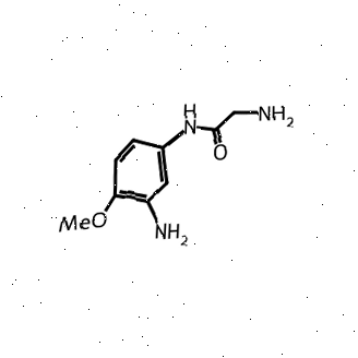 COc1ccc(NC(=O)CN)cc1N